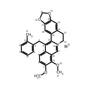 COc1ccc2c(Cc3ccccc3C)c3[n+](cc2c1OC)CCc1cc2c(cc1-3)OCO2.[Br-]